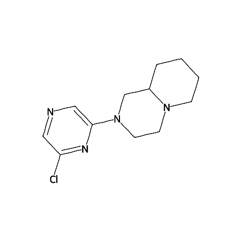 Clc1cncc(N2CCN3CCCCC3C2)n1